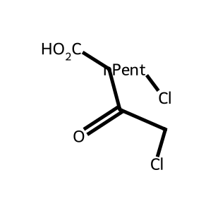 CCCCCCl.O=C(O)CC(=O)CCl